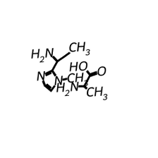 CC(N)C(=O)O.CCC(N)c1nccn1C